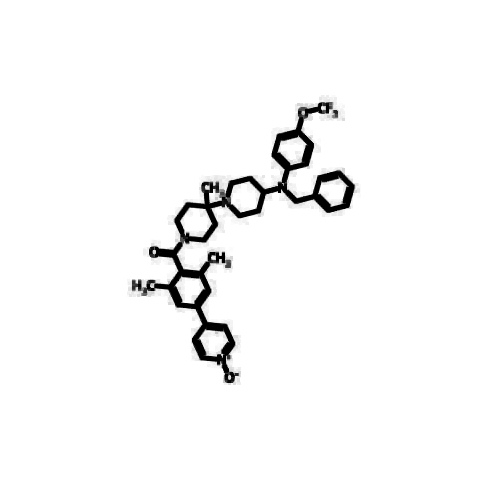 Cc1cc(-c2cc[n+]([O-])cc2)cc(C)c1C(=O)N1CCC(C)(N2CCC(N(Cc3ccccc3)c3ccc(OC(F)(F)F)cc3)CC2)CC1